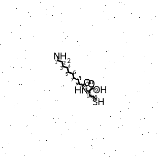 NCCCCCCCCCC(=O)NC(CCS)C(=O)O